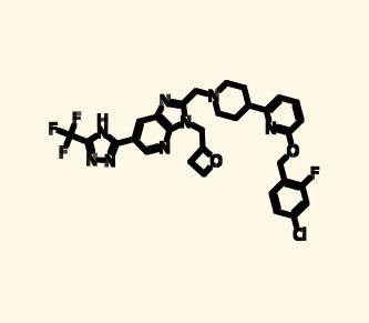 Fc1cc(Cl)ccc1COc1cccc(C2CCN(Cc3nc4cc(-c5nnc(C(F)(F)F)[nH]5)cnc4n3CC3CCO3)CC2)n1